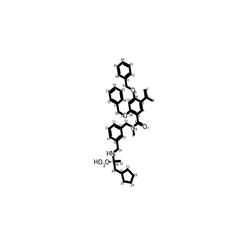 C=C(C)c1cc(C(=O)N(C)Cc2cccc(CN[C@@](C)(CC3CCCC3)C(=O)O)c2)c(OCc2ccccc2)cc1OCc1ccccc1